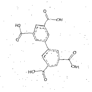 O=C(O)c1cc(C(=O)O)cc(-c2cc(C(=O)O)cc(C(=O)O)c2)c1